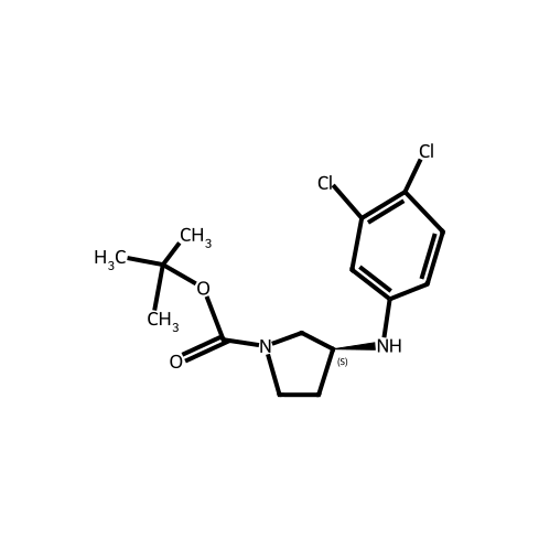 CC(C)(C)OC(=O)N1CC[C@H](Nc2ccc(Cl)c(Cl)c2)C1